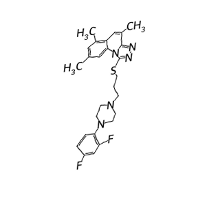 Cc1cc(C)c2cc(C)c3nnc(SCCCN4CCN(c5ccc(F)cc5F)CC4)n3c2c1